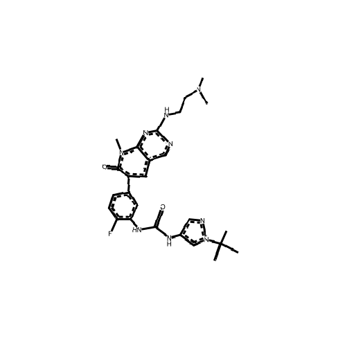 CN(C)CCNc1ncc2cc(-c3ccc(F)c(NC(=O)Nc4cnn(C(C)(C)C)c4)c3)c(=O)n(C)c2n1